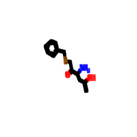 C=C(O)C[C@H](N)C(=O)CSCc1ccccc1